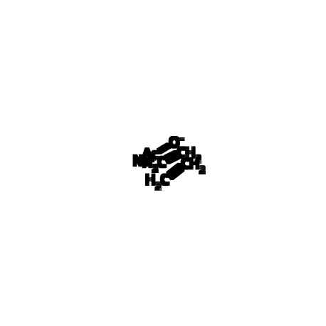 C=C.C=C.CC(=O)[O-].[Na+]